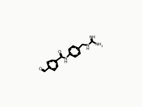 N=C(N)NCc1ccc(NC(=O)c2ccc(C=O)cc2)cc1